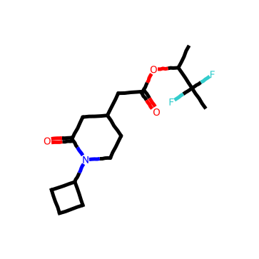 CC(OC(=O)CC1CCN(C2CCC2)C(=O)C1)C(C)(F)F